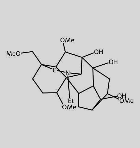 CCN1CC2(COC)CCC(OC)C34C5CC6C(OC)CC(O)(C5C6O)C(O)(C(OC)C23)C14